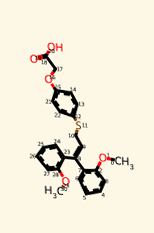 COc1ccccc1C(=CCSc1ccc(OCC(=O)O)cc1)c1ccccc1OC